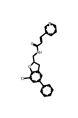 O=C(/C=C/c1cccnc1)NCC1Cc2cc(-c3ccccc3)cc(Cl)c2O1